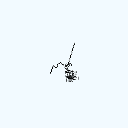 CCCCC/C=C\C/C=C\C/C=C\C/C=C\CCCC(=O)O[C@H](COC(=O)CCCCCCCCCCCCCCCCC)COP(=O)(O)O[C@@H]1[C@H](O)[C@H](O)[C@@H](OP(=O)(O)O)[C@H](OP(=O)(O)O)[C@H]1O